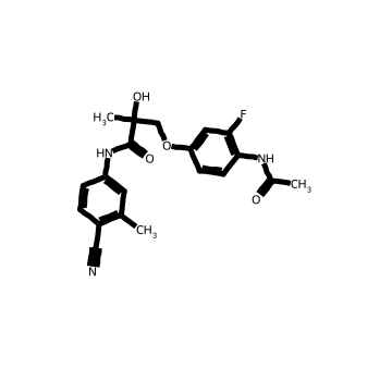 CC(=O)Nc1ccc(OCC(C)(O)C(=O)Nc2ccc(C#N)c(C)c2)cc1F